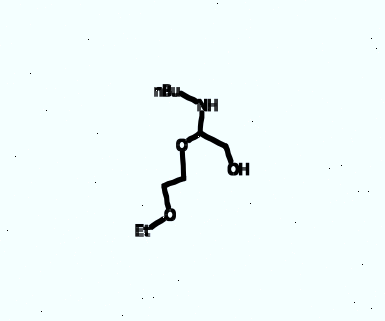 CCCCNC(CO)OCCOCC